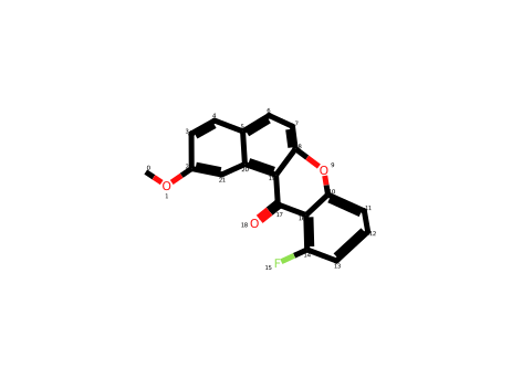 COc1ccc2ccc3oc4cccc(F)c4c(=O)c3c2c1